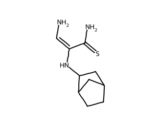 NC=C(NC1CC2CCC1C2)C(N)=S